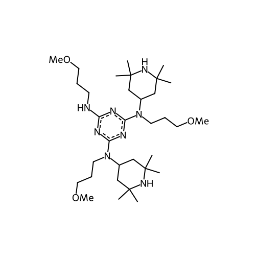 COCCCNc1nc(N(CCCOC)C2CC(C)(C)NC(C)(C)C2)nc(N(CCCOC)C2CC(C)(C)NC(C)(C)C2)n1